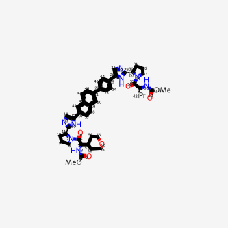 COC(=O)NC(C(=O)N1CCC[C@H]1c1ncc(-c2ccc3cc(-c4ccc(-c5cnc([C@@H]6CCCN6C(=O)[C@@H](NC(=O)OC)C(C)C)[nH]5)cc4)ccc3c2)[nH]1)C1CCOCC1